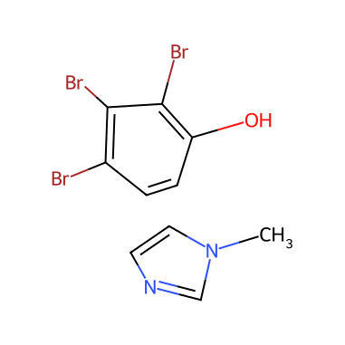 Cn1ccnc1.Oc1ccc(Br)c(Br)c1Br